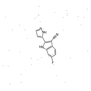 N#Cc1c(-c2ccn[nH]2)[nH]c2cc(F)ccc12